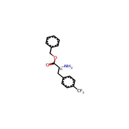 N[C@H](Cc1ccc(C(F)(F)F)cc1)C(=O)OCc1ccccc1